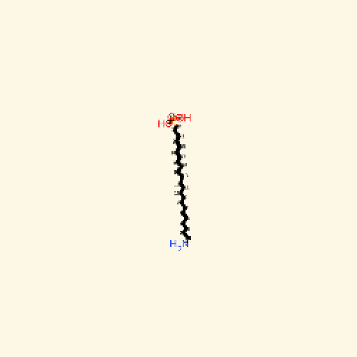 NCCCCCCCCCCCCCCCCCCCCCCCP(=O)(O)O